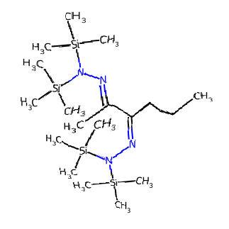 CCCC(=NN([Si](C)(C)C)[Si](C)(C)C)C(C)=NN([Si](C)(C)C)[Si](C)(C)C